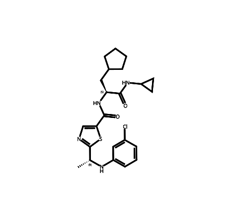 C[C@@H](Nc1cccc(Cl)c1)c1ncc(C(=O)N[C@@H](CC2CCCC2)C(=O)NC2CC2)s1